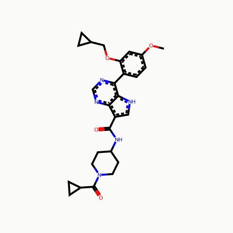 COc1ccc(-c2ncnc3c(C(=O)NC4CCN(C(=O)C5CC5)CC4)c[nH]c23)c(OCC2CC2)c1